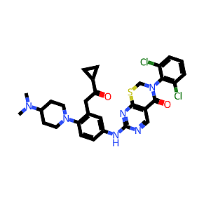 CN(C)C1CCN(c2ccc(Nc3ncc4c(n3)SCN(c3c(Cl)cccc3Cl)C4=O)cc2CC(=O)C2CC2)CC1